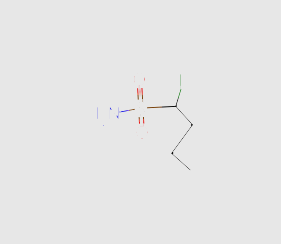 CCCC(F)S(N)(=O)=O